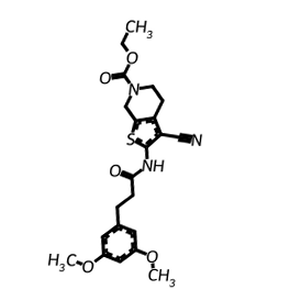 CCOC(=O)N1CCc2c(sc(NC(=O)CCc3cc(OC)cc(OC)c3)c2C#N)C1